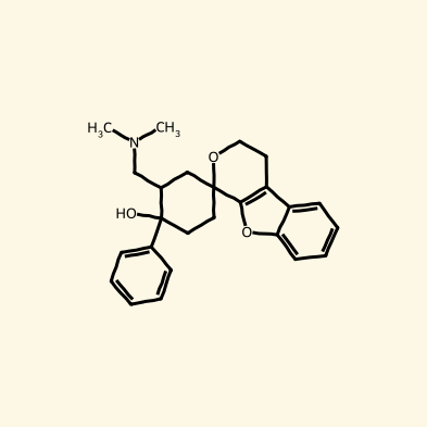 CN(C)CC1CC2(CCC1(O)c1ccccc1)OCCc1c2oc2ccccc12